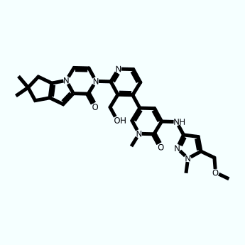 COCc1cc(Nc2cc(-c3ccnc(-n4ccn5c6c(cc5c4=O)CC(C)(C)C6)c3CO)cn(C)c2=O)nn1C